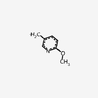 [CH2]c1ccc(OC)nc1